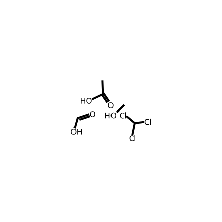 CC(=O)O.CO.ClC(Cl)Cl.O=CO